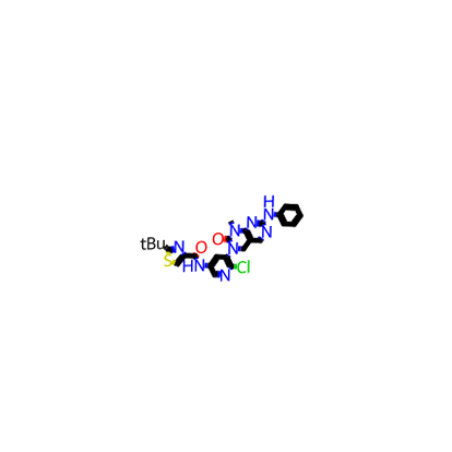 CN1C(=O)N(c2cc(NC(=O)c3csc(C(C)(C)C)n3)cnc2Cl)Cc2cnc(Nc3ccccc3)nc21